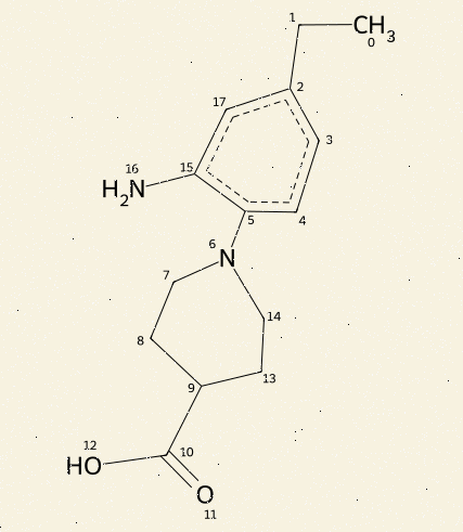 CCc1ccc(N2CCC(C(=O)O)CC2)c(N)c1